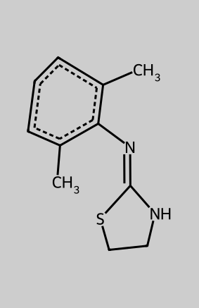 Cc1cccc(C)c1/N=C1/NCCS1